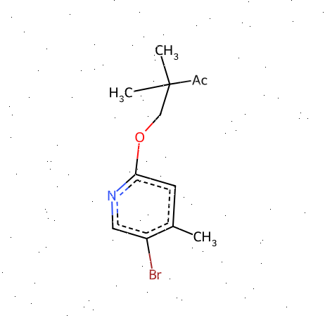 CC(=O)C(C)(C)COc1cc(C)c(Br)cn1